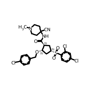 CN1CCC(C#N)(NC(=O)[C@H]2C[C@H](S(=O)(=O)c3ccc(Cl)cc3Cl)C[C@@H]2OCc2ccc(Cl)cc2)CC1